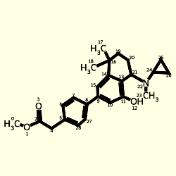 COC(=O)Cc1ccc(-c2cc(O)c3c(c2)C(C)(C)CCC3N(C)C2CC2)cc1